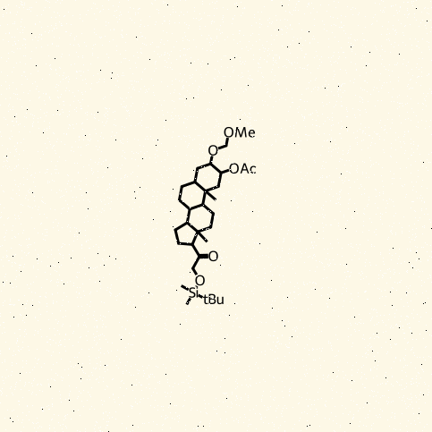 COCOC1CC2CCC3C(CCC4(C)C(C(=O)CO[Si](C)(C)C(C)(C)C)CCC34)C2(C)CC1OC(C)=O